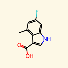 Cc1cc(F)cc2[nH]cc(C(=O)O)c12